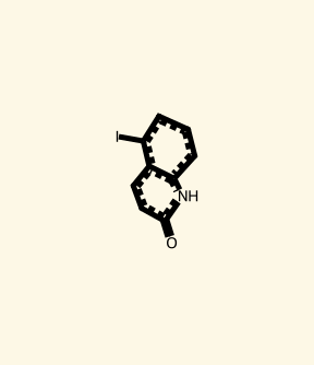 O=c1ccc2c(I)cccc2[nH]1